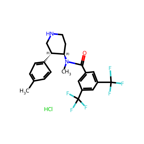 Cc1ccc([C@@H]2CNCC[C@H]2N(C)C(=O)c2cc(C(F)(F)F)cc(C(F)(F)F)c2)cc1.Cl